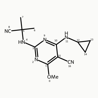 COc1nc(NC(C)(C)C#N)nc(NC2CC2)c1C#N